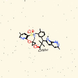 COC(=O)C(C)(C)C(c1ccc(C)c(CN2CC3(CC3)Oc3ncc(C)cc3S2(=O)=O)c1)c1cc2cc(C)nnc2n1C